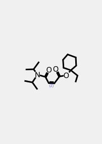 CCC1(OC(=O)/C=C\C(=O)N(C(C)C)C(C)C)CCCCC1